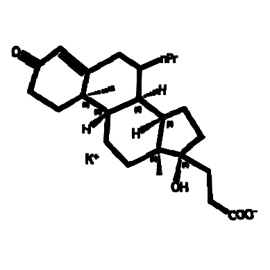 CCCC1CC2=CC(=O)CC[C@]2(C)[C@H]2CC[C@@]3(C)[C@@H](CC[C@]3(O)CCC(=O)[O-])[C@H]12.[K+]